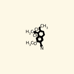 CCC1CCc2cc(C#N)c(OC)cc2C1C(C)(C)C